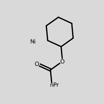 CCCC(=O)OC1CCCCC1.[Ni]